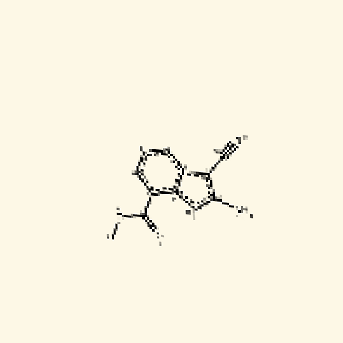 COC(=O)c1cccc2c(C#N)c(N)[nH]c12